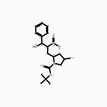 CC(C)(C)OC(=O)N1CC(F)CC1CC(C(O)c1ccccc1)[N+](=O)[O-]